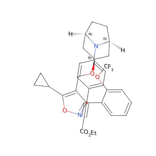 CCOC(=O)C#Cc1ccc(N2[C@@H]3CC[C@H]2C[C@@H](OCc2c(-c4ccccc4OC(F)(F)F)noc2C2CC2)C3)cc1